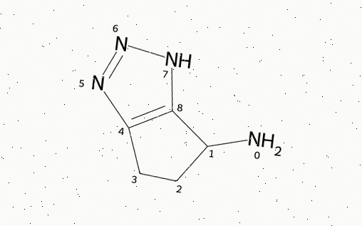 NC1CCc2nn[nH]c21